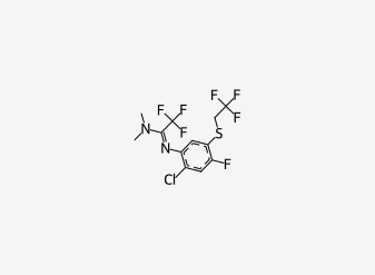 CN(C)/C(=N/c1cc(SCC(F)(F)F)c(F)cc1Cl)C(F)(F)F